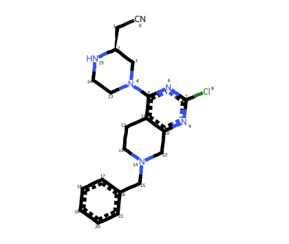 N#CC[C@H]1CN(c2nc(Cl)nc3c2CCN(Cc2ccccc2)C3)CCN1